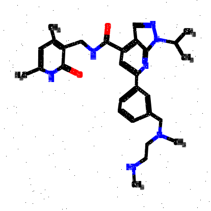 CNCCN(C)Cc1cccc(-c2cc(C(=O)NCc3c(C)cc(C)[nH]c3=O)c3cnn(C(C)C)c3n2)c1